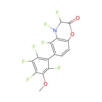 COc1c(F)c(F)c(F)c(-c2ccc3c(c2F)N(F)C(F)C(=O)O3)c1F